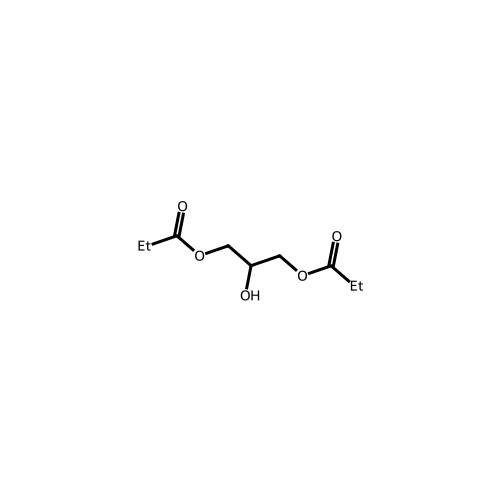 CCC(=O)OCC(O)COC(=O)CC